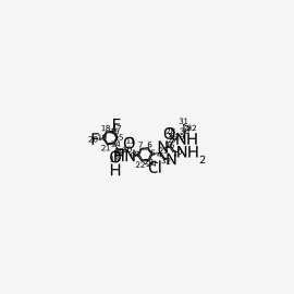 Nc1ncc(-c2ccc(NC(=O)[C@H](O)c3cc(F)cc(F)c3)cc2Cl)nc1C(=O)NC1CC1